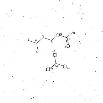 CC(=O)OCCC(C)C.ClC(Cl)Cl